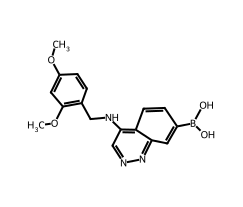 COc1ccc(CNc2cnnc3cc(B(O)O)ccc23)c(OC)c1